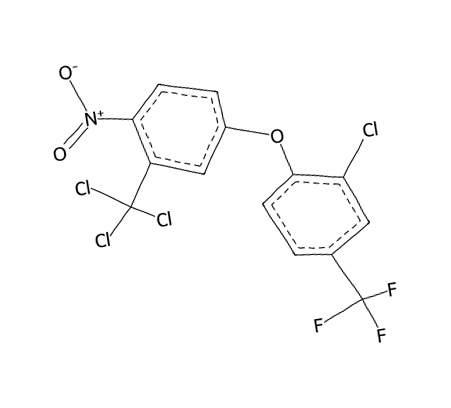 O=[N+]([O-])c1ccc(Oc2ccc(C(F)(F)F)cc2Cl)cc1C(Cl)(Cl)Cl